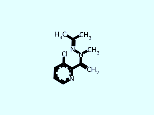 C=C(c1ncccc1Cl)N(C)N=C(C)C